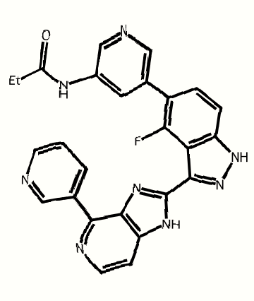 CCC(=O)Nc1cncc(-c2ccc3[nH]nc(-c4nc5c(-c6cccnc6)nccc5[nH]4)c3c2F)c1